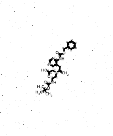 C=C(Cc1cncnc1NC(=O)OCc1ccccc1)N(CCNC(=O)OC(C)(C)C)CC(=O)O